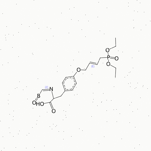 CCOP(=O)(C/C=C/COc1ccc(CC(/N=C\B=O)C(=O)O)cc1)OCC